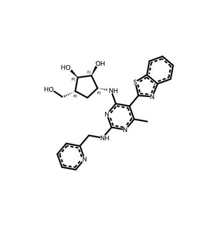 Cc1nc(NCc2ccccn2)nc(N[C@@H]2C[C@H](CO)[C@@H](O)[C@H]2O)c1-c1nc2ccccc2s1